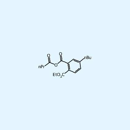 CCCCc1ccc(C(=O)OCC)c(C(=O)OC(=O)CCC)c1